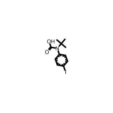 CC(C)(C)N(C(=O)O)c1ccc(I)cc1